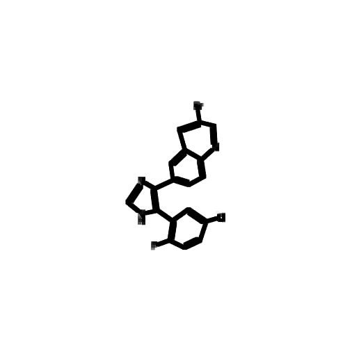 Fc1ccc(Cl)cc1-c1[nH]cnc1-c1ccc2ncc(Br)cc2c1